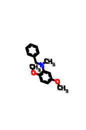 COc1ccc(OC)c(N(C)Cc2ccccc2)c1